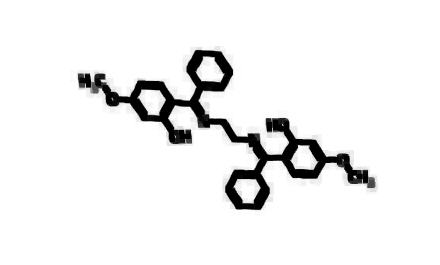 COc1ccc(/C(=N/CC/N=C(\c2ccccc2)c2ccc(OC)cc2O)c2ccccc2)c(O)c1